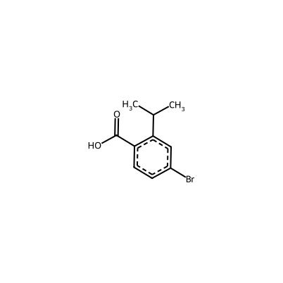 CC(C)c1cc(Br)ccc1C(=O)O